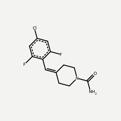 NC(=O)N1CCC(=Cc2c(F)cc(Cl)cc2F)CC1